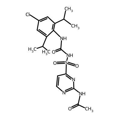 CC(=O)Nc1nccc(S(=O)(=O)NC(=O)Nc2c(C(C)C)cc(Cl)cc2C(C)C)n1